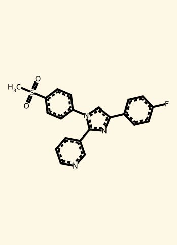 CS(=O)(=O)c1ccc(-n2cc(-c3ccc(F)cc3)nc2-c2cccnc2)cc1